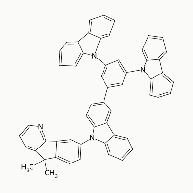 CC1(C)c2ccc(-n3c4ccccc4c4cc(-c5cc(-n6c7ccccc7c7ccccc76)cc(-n6c7ccccc7c7ccccc76)c5)ccc43)cc2-c2ncccc21